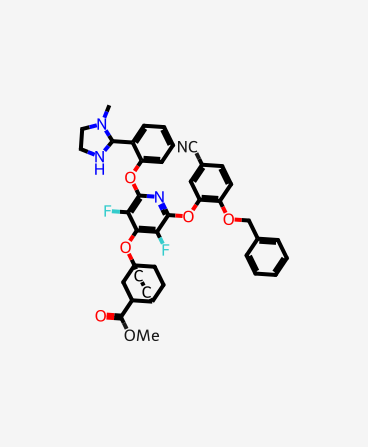 COC(=O)C1CC2(Oc3c(F)c(Oc4cc(C#N)ccc4OCc4ccccc4)nc(Oc4ccccc4C4NCCN4C)c3F)CCC1CC2